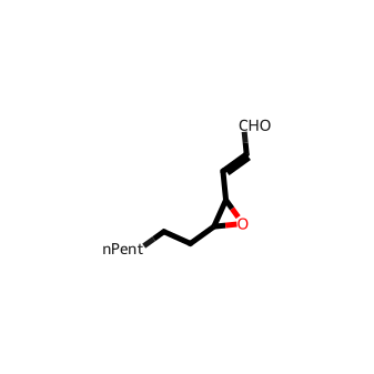 CCCCCCCC1OC1/C=C/C=O